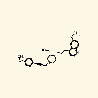 COc1ccc(C#CCN2CC[C@@H](CCCc3ccnc4ccc(OC)cc34)[C@@H](CO)C2)cc1